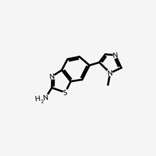 Cn1cncc1-c1ccc2nc(N)sc2c1